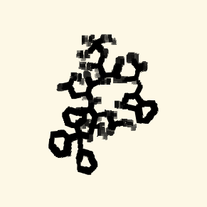 CC(=O)N[C@H](C(=O)N[C@@H](CC(N)=O)C(=O)N[C@H](C(=O)N[C@@H](Cc1c[nH]c2ccccc12)C(=O)O)[C@@H](C)OC(C)(C)C)C(C)(C)SC(c1ccccc1)(c1ccccc1)c1ccccc1